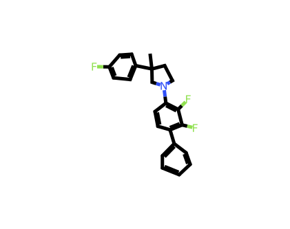 CC1(c2ccc(F)cc2)CCN(c2ccc(-c3ccccc3)c(F)c2F)C1